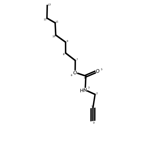 C#CCNC(=O)OCCCCCCC